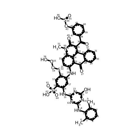 Cc1cccc(C)c1Nc1nc(O)nc(Nc2cc(Nc3ccc4c5c3C(=O)c3ccccc3-c5c(C(=O)c3cccc(OS(=O)O)c3)c(=O)n4C)c(SOOO)cc2S(=O)(=O)O)n1